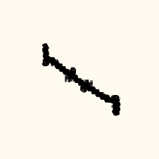 CCCCCC1OC1CC=CCCCCCCCC(=O)NCCCCNC(=O)CCCCCCCC=CCC1OC1CCCCC